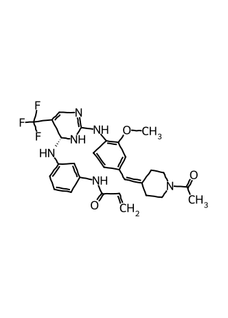 C=CC(=O)Nc1cccc(N[C@H]2NC(Nc3ccc(C=C4CCN(C(C)=O)CC4)cc3OC)=NC=C2C(F)(F)F)c1